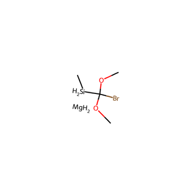 COC(Br)(OC)[SiH2]C.[MgH2]